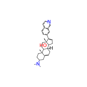 CN(C)[C@H]1CC[C@@]2(C)C(=CC[C@@H]3C2CC[C@]2(C)C(c4ccc5ccncc5c4)=CC[C@@]32O)C1